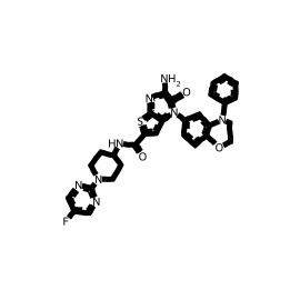 Nc1nc2sc(C(=O)NC3CCN(c4ncc(F)cn4)CC3)cc2n(-c2ccc3c(c2)N(c2ccccc2)CCO3)c1=O